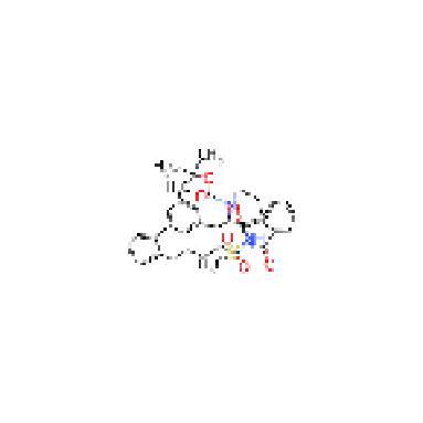 CC(C)(C)OC(=O)N1CCCC(NS(C)(=O)=O)C1Cc1cccc(-c2ccccc2CCCCCN2C(=O)c3ccccc3C2=O)c1